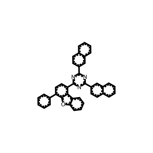 c1ccc(-c2ccc(-c3nc(-c4ccc5ccccc5c4)nc(-c4ccc5ccccc5c4)n3)c3c2oc2ccccc23)cc1